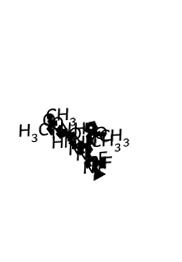 COCC1(CN(C)c2cc(-c3cnc(C4CC4)c(C(F)(F)F)c3)nc3nc(NC(=O)c4cn(C[C@@H](C)C(=O)OC)cn4)[nH]c23)CCCC1